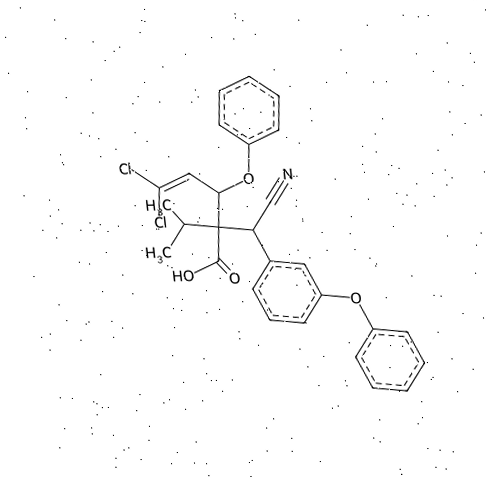 CC(C)C(C(=O)O)(C(C=C(Cl)Cl)Oc1ccccc1)C(C#N)c1cccc(Oc2ccccc2)c1